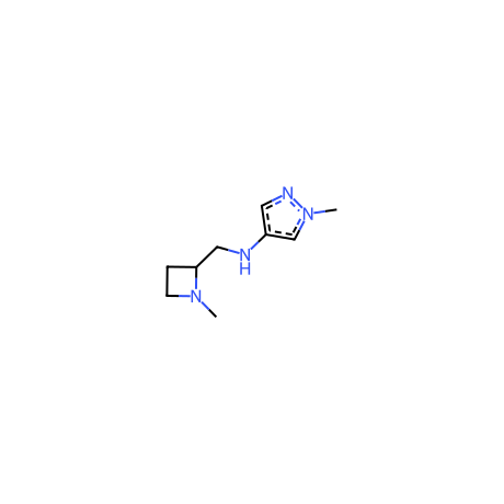 CN1CCC1CNc1cnn(C)c1